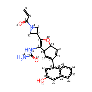 C=CC(=O)N1CC(C2=C(NC(N)=O)C3C=C(c4cc(O)cc5ccccc45)C=CC3O2)C1